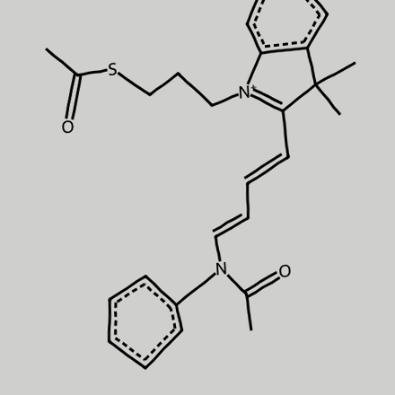 CC(=O)SCCC[N+]1=C(/C=C/C=C/N(C(C)=O)c2ccccc2)C(C)(C)c2ccccc21